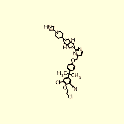 CC(C)(c1ccc(OCc2ccnc(N3C[C@@H]4CN(C5CCN(C6CNC6)CC5)C[C@@H]4C3)n2)cc1)c1cc(Cl)c(OCCCl)c(C#N)c1